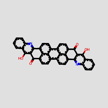 O=C1c2c(nc3ccccc3c2O)-c2ccc3c4ccc5c6c(ccc(c7ccc1c2c73)c64)-c1nc2ccccc2c(O)c1C5=O